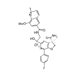 COc1cc(C(=O)NC[C@](O)(c2cc3c(c(-c4ccc(F)cc4)n2)OC[C@]3(C)C(N)=O)C(F)(F)F)cc2ccc(C)nc12